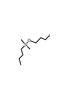 CCCC[Si](C)(C)OCCCI